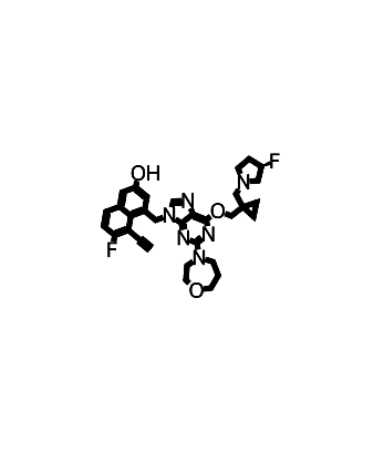 C#Cc1c(F)ccc2cc(O)cc(Cn3cnc4c(OCC5(CN6CC[C@@H](F)C6)CC5)nc(N5CCCOCC5)nc43)c12